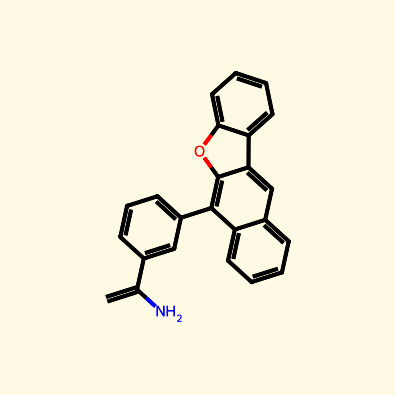 C=C(N)c1cccc(-c2c3ccccc3cc3c2oc2ccccc23)c1